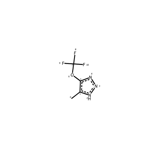 Cc1[nH]nnc1OC(F)(F)F